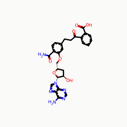 NC(=O)c1ccc(CCC(=O)c2ccccc2C(=O)O)cc1OC[C@@H]1C[C@@H](O)[C@H](n2cnc3c(N)ncnc32)O1